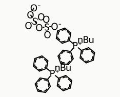 CCCC[P+](c1ccccc1)(c1ccccc1)c1ccccc1.CCCC[P+](c1ccccc1)(c1ccccc1)c1ccccc1.O=S(=O)([O-])OS(=O)(=O)O[O-]